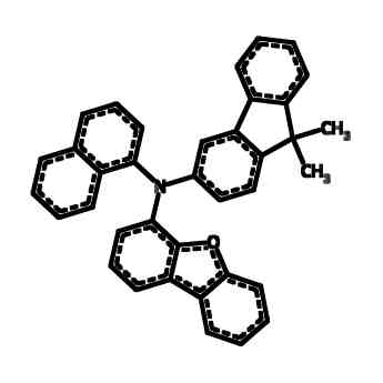 CC1(C)c2ccccc2-c2cc(N(c3cccc4ccccc34)c3cccc4c3oc3ccccc34)ccc21